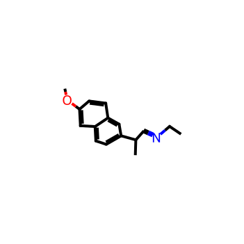 CCN=CC(C)c1ccc2cc(OC)ccc2c1